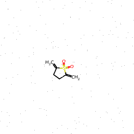 C=C1CCC(=C)S1(=O)=O